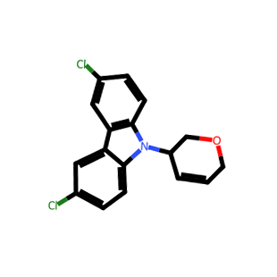 Clc1ccc2c(c1)c1cc(Cl)ccc1n2C1C=CCOC1